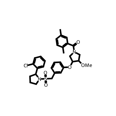 COC1CN(C(=O)c2cc(C)ccc2C)CC1Oc1cccc(CS(=O)(=O)N2CCCC2c2ccccc2Cl)c1